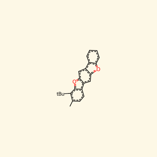 Cc1ccc2c(oc3cc4c(cc32)oc2ccccc24)c1C(C)(C)C